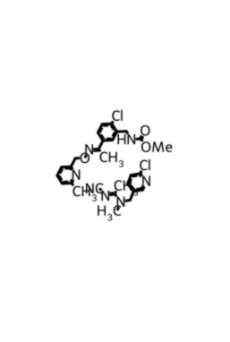 C/C(=N\C#N)N(C)Cc1ccc(Cl)nc1.COC(=O)NCc1cc(/C(C)=N/OCc2cccc(C)n2)ccc1Cl